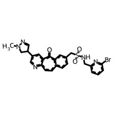 CN1CC(c2cnc3ccc4ccc(CS(=O)(=O)NCc5cccc(Br)n5)cc4c(=O)c3c2)C=N1